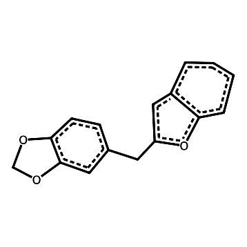 c1ccc2oc(Cc3ccc4c(c3)OCO4)cc2c1